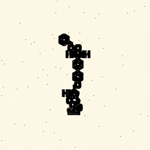 CC(C)(C)OC(=O)C[C@@H]1C[C@@H](COc2ccc(-c3ccc(C(=N)NC(=O)OCc4ccccc4)cc3)cc2)NC1=O